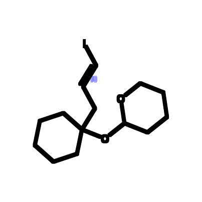 I/C=C/CC1(OC2CCCCO2)CCCCC1